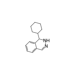 C1=NNC(C2CCCCC2)c2ccccc21